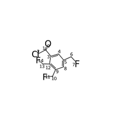 O=C(Cl)c1cc(CF)cc(CF)c1CF